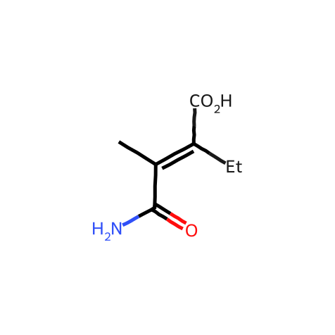 CC/C(C(=O)O)=C(/C)C(N)=O